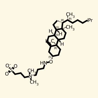 CC(C)CCC[C@@H](C)[C@H]1CC[C@H]2[C@@H]3CC=C4C[C@@H](ONCCC[N+](C)(C)CCCS(=O)(=O)[O-])CC[C@]4(C)[C@H]3CC[C@]12C